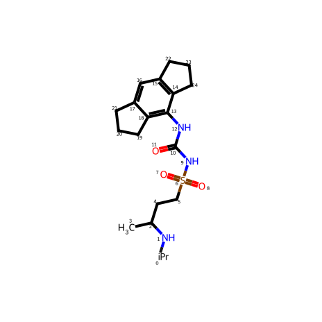 CC(C)NC(C)CCS(=O)(=O)NC(=O)Nc1c2c(cc3c1CCC3)CCC2